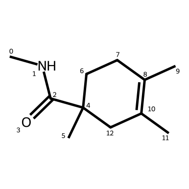 CNC(=O)C1(C)CCC(C)=C(C)C1